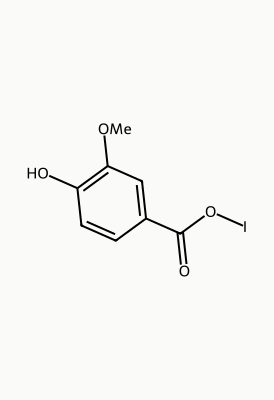 COc1cc(C(=O)OI)ccc1O